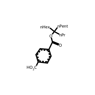 CCCCCCC(CCC)(CCCCC)OC(=O)c1ccc(C(=O)O)cc1